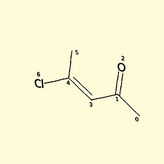 CC(=O)/C=C(\C)Cl